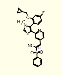 Cn1cnc(-c2cc(/C=C(\C#N)S(=O)(=O)c3ccccc3)ccn2)c1-c1ccc(F)cc1OCC1CC1